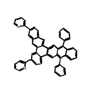 c1ccc(-c2c3ccccc3c(-c3ccccc3)c3cc4c5cc6ccc(-c7ccccn7)cc6cc5c5cc(-c6ccccn6)ccc5c4cc23)cc1